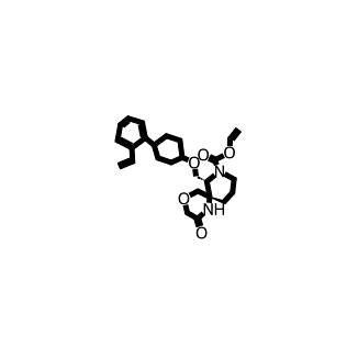 C=COC(=O)N1CCC[C@@]2(COCC(=O)N2)[C@@H]1COC1CCC(c2ccccc2C=C)CC1